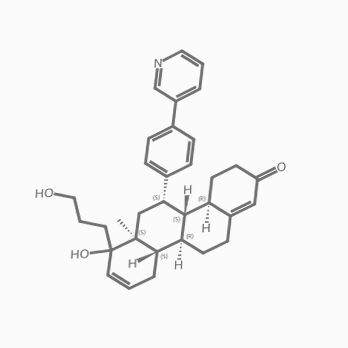 C[C@]12C[C@H](c3ccc(-c4cccnc4)cc3)[C@H]3[C@@H](CCC4=CC(=O)CC[C@@H]43)[C@@H]1CC=CC2(O)CCCO